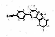 Cl.N#Cc1ccc(-c2ccc3[nH]c4c(c3c2)CNCC4)cc1